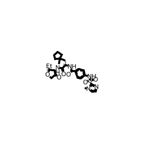 CC[C@@H]1OCC(=O)[C@H]1NC(=O)[C@H](CC1(C)CCCC1)NC(=O)c1ccc(NS(=O)(=O)c2nccn2C)cc1